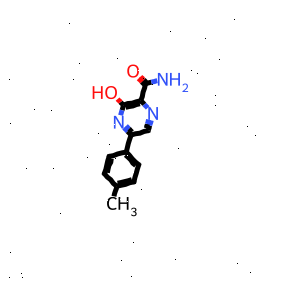 Cc1ccc(-c2cnc(C(N)=O)c(O)n2)cc1